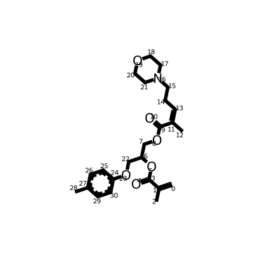 C=C(C)C(=O)OC(COC(=O)C(C)=CCCN1CCOCC1)COc1ccc(C)cc1